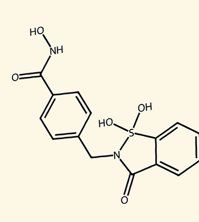 O=C(NO)c1ccc(CN2C(=O)c3ccccc3S2(O)O)cc1